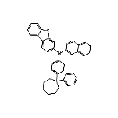 c1ccc(C2(c3ccc(N(c4ccc5ccccc5c4)c4ccc5c(c4)sc4ccccc45)cc3)CCCCCC2)cc1